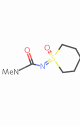 CNC(=O)N=S1(=O)CCCCC1